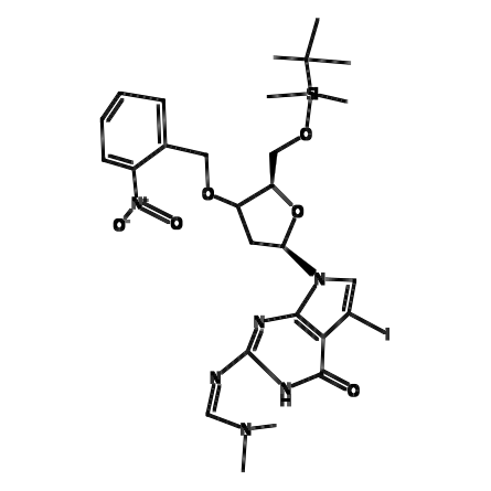 CN(C)/C=N\c1nc2c(c(I)cn2[C@H]2CC(OCc3ccccc3[N+](=O)[O-])[C@@H](CO[Si](C)(C)C(C)(C)C)O2)c(=O)[nH]1